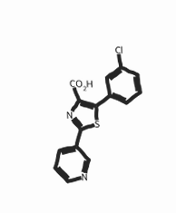 O=C(O)c1nc(-c2cccnc2)sc1-c1cccc(Cl)c1